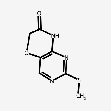 CSc1ncc2c(n1)NC(=O)CO2